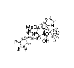 CO[C@H]1C[SH](C(c2ncccc2C)C2(O)CCOC(C)(C)C2)[C@H](CO)[C@H](O)[C@@H]1n1cc(-c2cc(F)c(F)c(F)c2)nn1